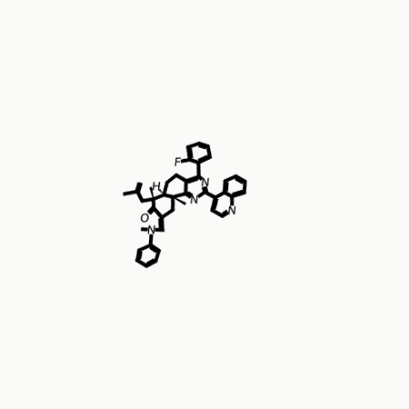 C=C(C)C[C@@]1(C)C(=O)/C(=C\N(C)c2ccccc2)C[C@@]2(C)c3nc(-c4ccnc5ccccc45)nc(-c4ccccc4F)c3CC[C@H]12